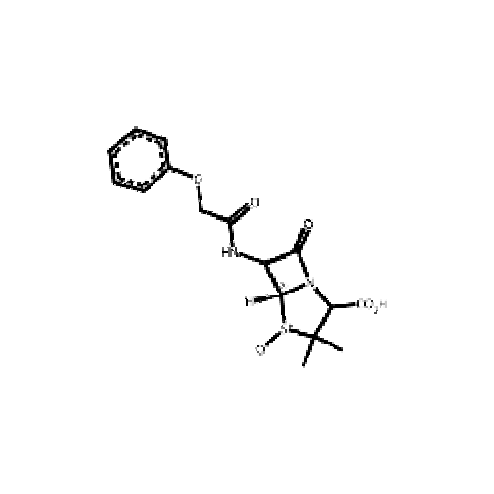 CC1(C)C(C(=O)O)N2C(=O)C(NC(=O)COc3ccccc3)[C@H]2[S+]1[O-]